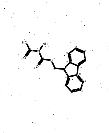 NN(C(=O)O)C(=O)OCC1c2ccccc2-c2ccccc21